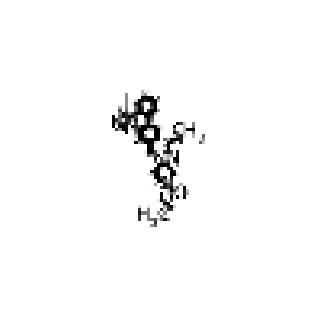 CCCc1nc2c(n1Cc1ccc(-c3ccccc3-c3nnn[nH]3)cc1)C=CN(C(=O)OCC)C2